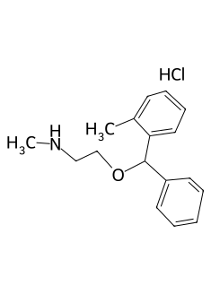 CNCCOC(c1ccccc1)c1ccccc1C.Cl